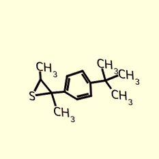 CC1SC1(C)c1ccc(C(C)(C)C)cc1